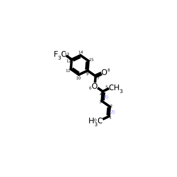 C/C=C\C=C(/C)OC(=O)c1ccc(C(F)(F)F)cc1